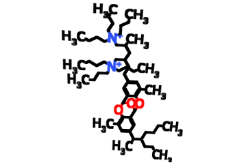 CCCCC(CCC)C(C)c1cc(C)c2c(c1)C1Oc3c(C)cc(CCC(CC(C)C[N+](CCCC)(CCCC)CCCC)C[N+](CCCC)(CCCC)CCCC)cc3C(O2)O1